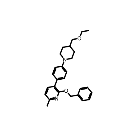 CCOCC1CCN(c2ccc(-c3ccc(C)nc3OCc3ccccc3)cc2)CC1